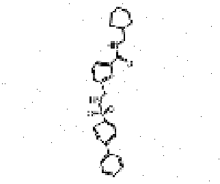 O=C(NCC1CCCCC1)c1cccc(CNS(=O)(=O)c2ccc(-c3ccccc3)cc2)c1